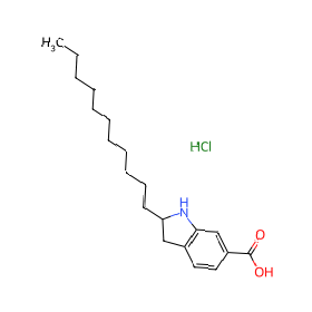 CCCCCCCCCCCC1Cc2ccc(C(=O)O)cc2N1.Cl